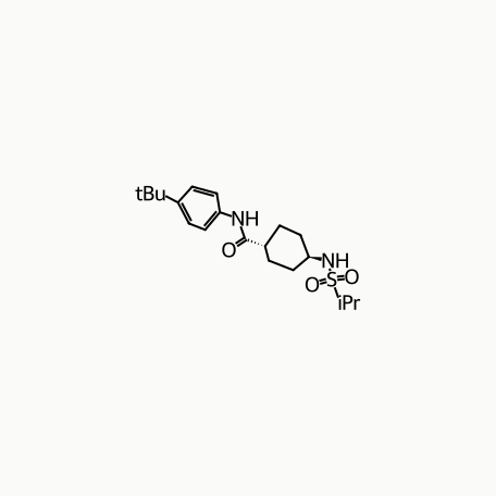 CC(C)S(=O)(=O)N[C@H]1CC[C@H](C(=O)Nc2ccc(C(C)(C)C)cc2)CC1